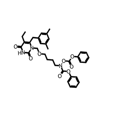 CCc1c(Cc2cc(C)cc(C)c2)n(COCCCCN(OC(=O)Oc2ccccc2)C(=O)Oc2ccccc2)c(=O)[nH]c1=O